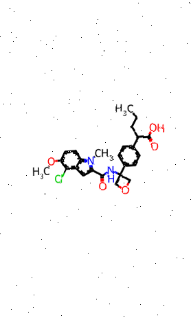 CCCC(C(=O)O)c1ccc(C2(NC(=O)c3cc4c(Cl)c(OC)ccc4n3C)COC2)cc1